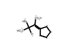 CCCCC(CC)(C(=O)O)C(C(=O)O)=C1CCCC1